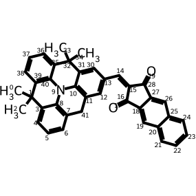 CC1(C)c2cccc3c2N2c4c(cc(C=C5C(=O)c6cc7ccccc7cc6C5=O)cc4C(C)(C)c4cccc1c42)C3